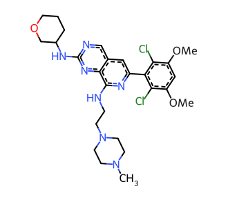 COc1cc(OC)c(Cl)c(-c2cc3cnc(NC4CCCOC4)nc3c(NCCN3CCN(C)CC3)n2)c1Cl